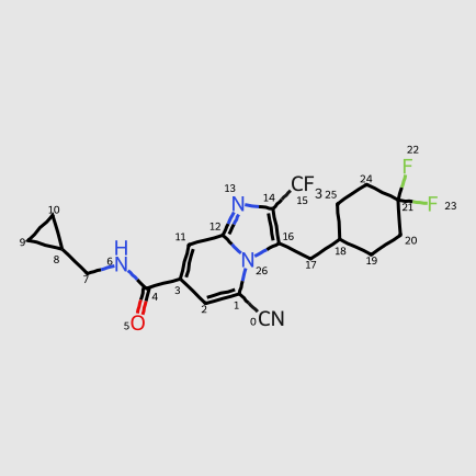 N#Cc1cc(C(=O)NCC2CC2)cc2nc(C(F)(F)F)c(CC3CCC(F)(F)CC3)n12